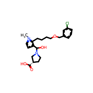 Cn1ccc(C(O)N2CC[C@H](C(=O)O)C2)c1CCCCOCc1cccc(Cl)c1